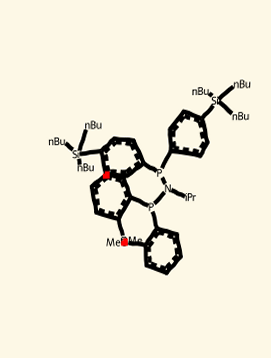 CCCC[Si](CCCC)(CCCC)c1ccc(P(c2ccc([Si](CCCC)(CCCC)CCCC)cc2)N(C(C)C)P(c2ccccc2OC)c2ccccc2OC)cc1